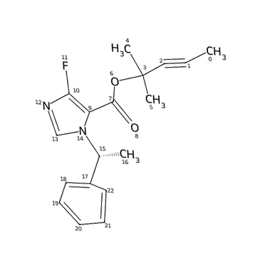 CC#CC(C)(C)OC(=O)c1c(F)ncn1[C@H](C)c1ccccc1